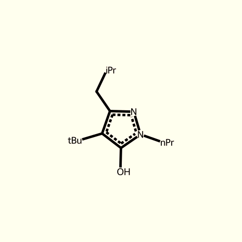 CCCn1nc(CC(C)C)c(C(C)(C)C)c1O